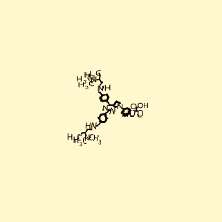 CCC(CCNCc1ccc(-c2nc(-c3ccc(CNCCC(CC)N(C)C)cc3)c3ccn(-c4ccccc4)c3n2)cc1)N(C)C.O=C(O)C(=O)O